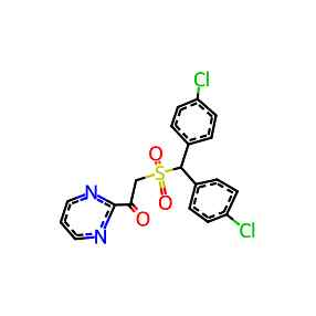 O=C(CS(=O)(=O)C(c1ccc(Cl)cc1)c1ccc(Cl)cc1)c1ncccn1